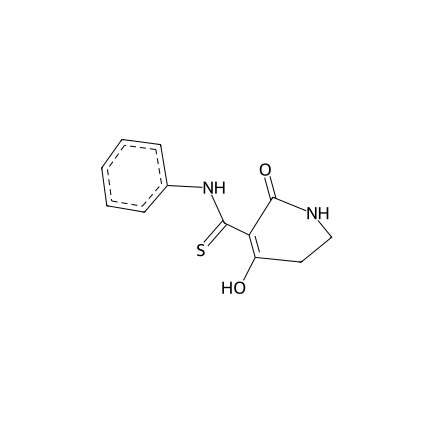 O=C1NCCC(O)=C1C(=S)Nc1ccccc1